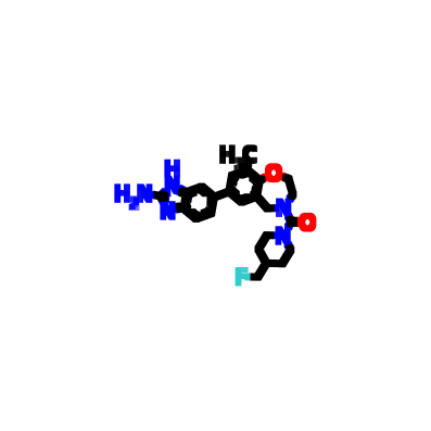 Cc1cc(-c2ccc3nc(N)[nH]c3c2)cc2c1OCCN(C(=O)N1CCC(CF)CC1)C2